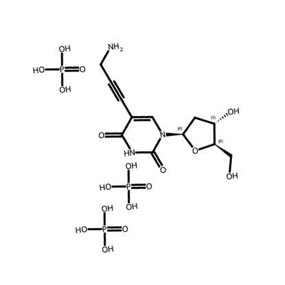 NCC#Cc1cn([C@H]2C[C@H](O)[C@@H](CO)O2)c(=O)[nH]c1=O.O=P(O)(O)O.O=P(O)(O)O.O=P(O)(O)O